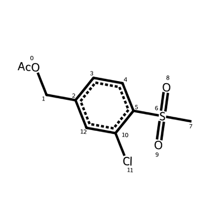 CC(=O)OCc1ccc(S(C)(=O)=O)c(Cl)c1